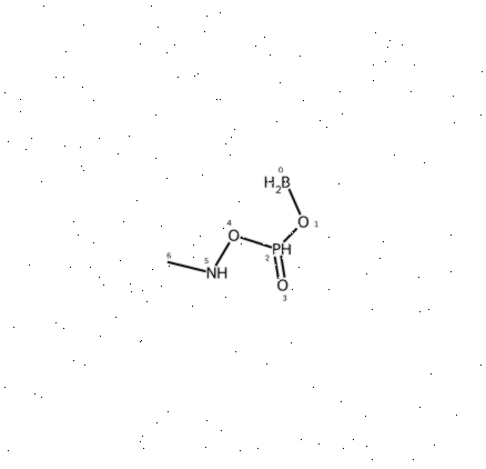 BO[PH](=O)ONC